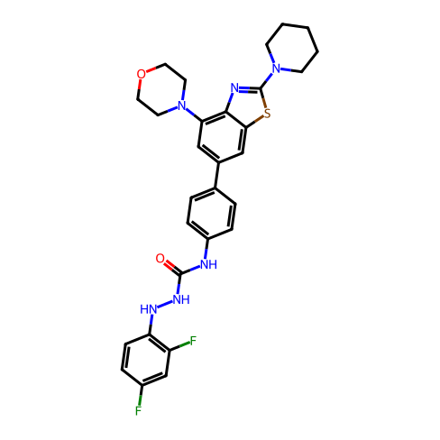 O=C(NNc1ccc(F)cc1F)Nc1ccc(-c2cc(N3CCOCC3)c3nc(N4CCCCC4)sc3c2)cc1